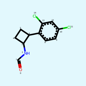 O=CNC1CCC1c1ccc(Cl)cc1Cl